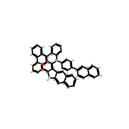 c1ccc(N(c2ccc(-c3ccc4ccccc4c3)cc2)c2cccc3oc4cc5ccccc5cc4c23)c(-c2cc3ccccc3c3ccccc23)c1